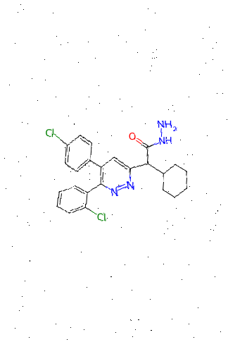 NNC(=O)C(c1cc(-c2ccc(Cl)cc2)c(-c2ccccc2Cl)nn1)C1CCCCC1